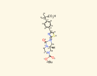 CC(C)(C)OC(=O)N1CCN2C(=O)N(c3nc(-c4ccc(C(C)(C)C(=O)O)cc4)cs3)C[C@@H]2C1